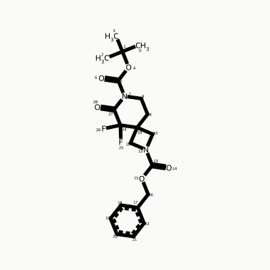 CC(C)(C)OC(=O)N1CCC2(CN(C(=O)OCc3ccccc3)C2)C(F)(F)C1=O